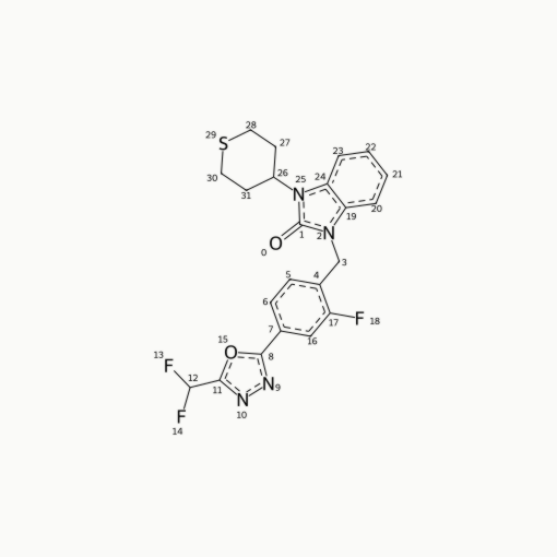 O=c1n(Cc2ccc(-c3nnc(C(F)F)o3)cc2F)c2ccccc2n1C1CCSCC1